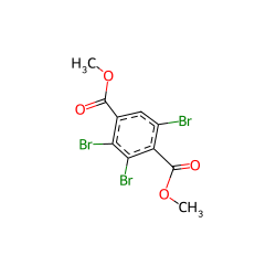 COC(=O)c1cc(Br)c(C(=O)OC)c(Br)c1Br